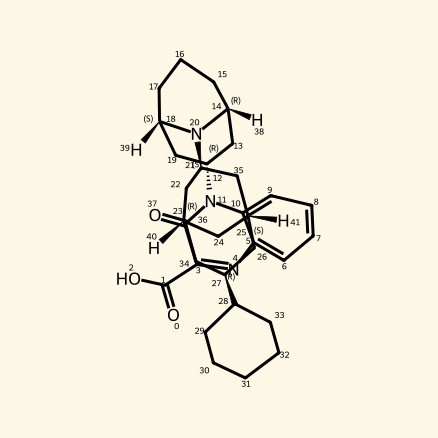 O=C(O)c1nc2ccccc2n([C@H]2C[C@H]3CCC[C@@H](C2)N3[C@@H]2C[C@@H]3C[C@@H](C[C@@H](C4CCCCC4)C3)C2)c1=O